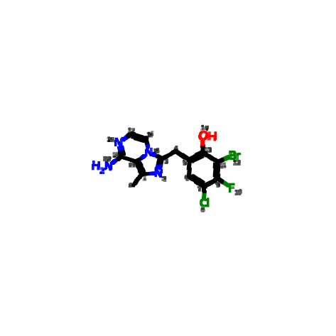 Cc1nc(Cc2cc(Cl)c(F)c(Br)c2O)n2ccnc(N)c12